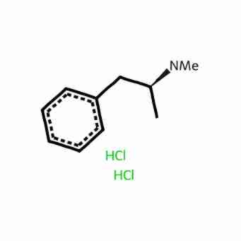 CN[C@@H](C)Cc1ccccc1.Cl.Cl